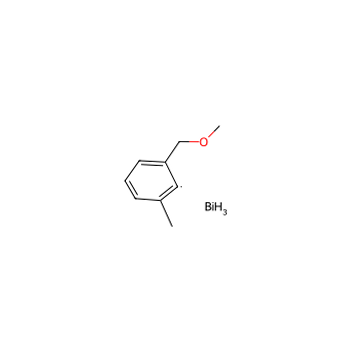 COCc1[c]c(C)ccc1.[BiH3]